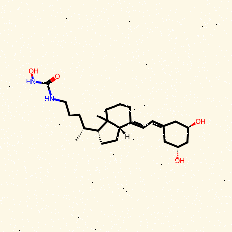 C[C@H](CCCNC(=O)NO)[C@H]1CC[C@H]2/C(=C/C=C3C[C@@H](O)C[C@H](O)C3)CCCC12C